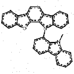 Cn1c2ccccc2c2cccc(-n3c4ccccc4c4ccc5c6ccccc6oc5c43)c21